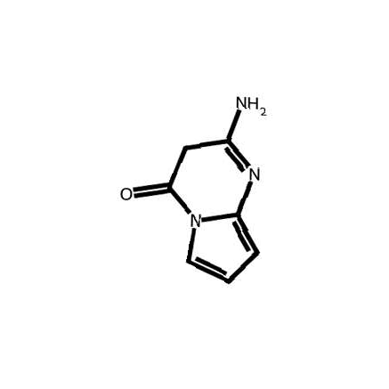 NC1=Nc2cccn2C(=O)C1